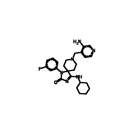 Nc1cnccc1CN1CCC2(CC1)C(NC1CCCCC1)=NC(=O)N2c1cccc(F)c1